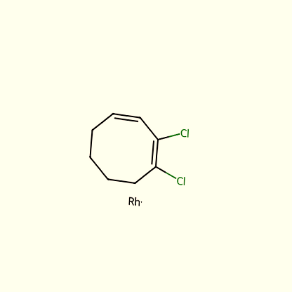 ClC1=C(Cl)CCCCC=C1.[Rh]